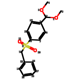 COC(OC)c1ccc(S(=O)(=O)Cc2ccccc2)cc1